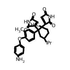 Cc1cc(C2(C3=CC(=O)NC3=O)CC(C(C)C)CCC2(C)C2=CC(=O)NC2=O)ccc1Oc1ccc(N)cc1